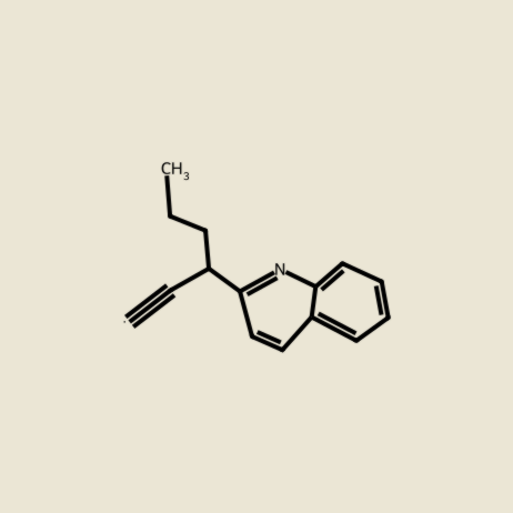 [C]#CC(CCC)c1ccc2ccccc2n1